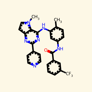 Cc1ccc(NC(=O)c2cccc(C(F)(F)F)c2)cc1Nc1nc(-c2ccncc2)nc2ccn(C)c12